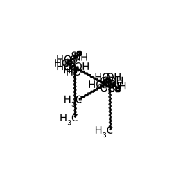 CCCCCCCCCCCCCCCCCCCCCCCCCCNC(CO[C@H]1O[C@H](COC(=S)Nc2ccccc2)[C@H](O)[C@H](O)[C@H]1O)C(O)C(O)CCCCCCCCCCCCCCC(O[C@H]1O[C@H](COC(=S)Nc2ccccc2F)[C@H](O)[C@H](O)[C@H]1O)[C@@H](NCCCCCCCCCCCCCCCCCCCCCCCCCC)[C@H](O)[C@H](O)CCCCCCCCCCCCCC